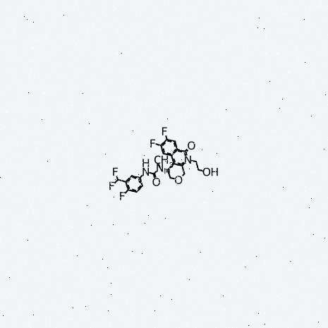 CN(C(=O)Nc1ccc(F)c(C(F)F)c1)[C@H]1COCc2c1c1cc(F)c(F)cc1c(=O)n2CCO